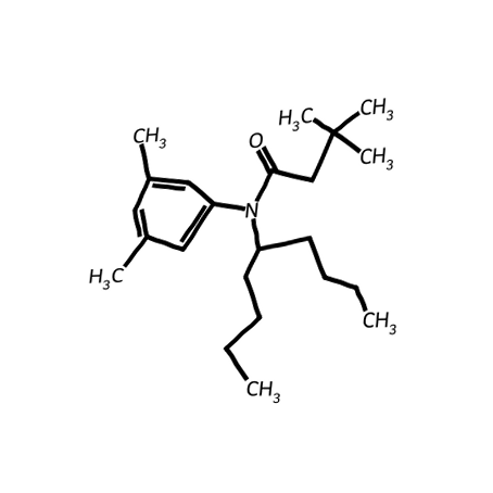 CCCCC(CCCC)N(C(=O)CC(C)(C)C)c1cc(C)cc(C)c1